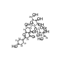 CCOC(OC1C(c2c(O)cc3oc(-c4ccc(O)cc4)cc(=O)c3c2O)OC(CO)C(O)C1O)C(O)C(O)C(C)O